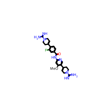 COc1cc(NC(=O)c2ccc(C3=CCN(C(=N)N)CC3)c(F)c2)ncc1C1=CCN(C(=N)N)CC1